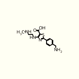 CNCCNc1nc(-c2ccc(CN)cc2)sc1C(=O)O